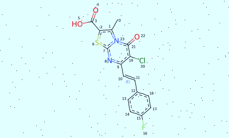 Cc1c(C(=O)O)sc2nc(/C=C/c3ccc(F)cc3)c(Cl)c(=O)n12